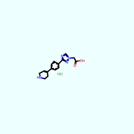 Cl.O=C(O)Cn1cnc(-c2ccc(C3=CCNCC3)cc2)n1